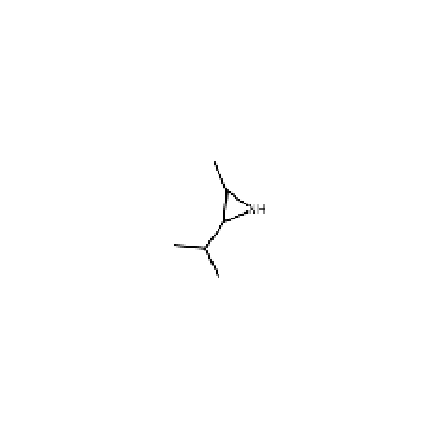 CC(C)C1NC1C